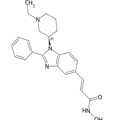 CCN1CCC[C@@H](n2c(-c3ccccc3)nc3cc(C=CC(=O)NO)ccc32)C1